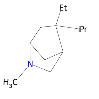 CCC1(C(C)C)CC2CC1CN2C